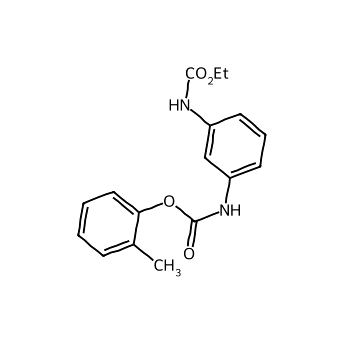 CCOC(=O)Nc1cccc(NC(=O)Oc2ccccc2C)c1